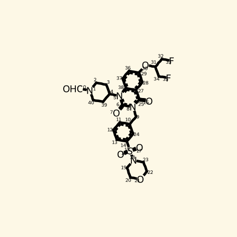 O=CN1CCC(n2c(=O)n(Cc3cccc(S(=O)(=O)N4CCOCC4)c3)c(=O)c3cc(OC(CF)CF)ccc32)CC1